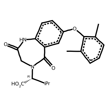 Cc1cccc(C)c1Oc1ccc2c(c1)C(=O)N([C@@H](C(=O)O)C(C)C)CC(=O)N2